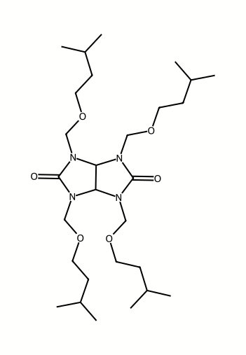 CC(C)CCOCN1C(=O)N(COCCC(C)C)C2C1N(COCCC(C)C)C(=O)N2COCCC(C)C